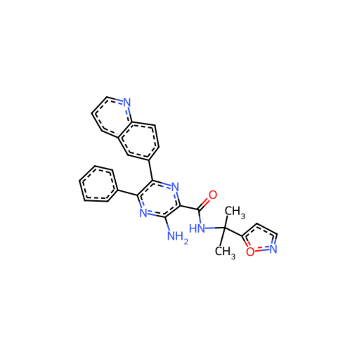 CC(C)(NC(=O)c1nc(-c2ccc3ncccc3c2)c(-c2ccccc2)nc1N)c1ccno1